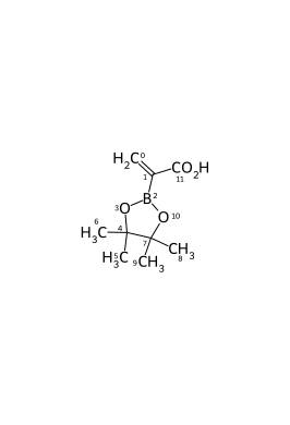 C=C(B1OC(C)(C)C(C)(C)O1)C(=O)O